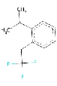 CC(C)c1ccccc1CC(F)(F)F